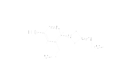 Bc1cnc(N2CC(=NOC)C2)c(COC)c1